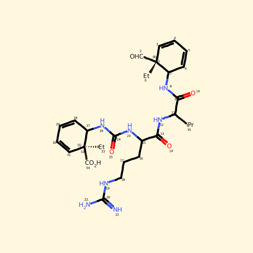 CC[C@@]1(C=O)C=CC=CC1NC(=O)C(NC(=O)C(CCCNC(=N)N)NC(=O)NC1C=CC=C[C@]1(CC)C(=O)O)C(C)C